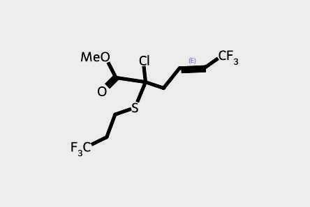 COC(=O)C(Cl)(C/C=C/C(F)(F)F)SCCC(F)(F)F